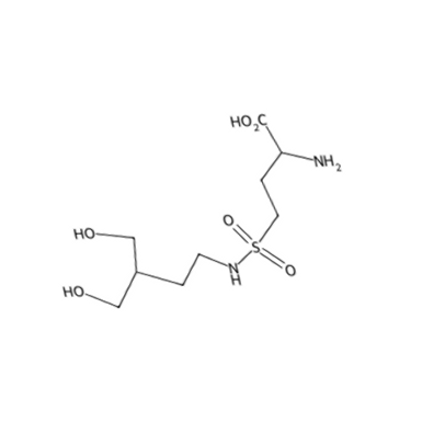 NC(CCS(=O)(=O)NCCC(CO)CO)C(=O)O